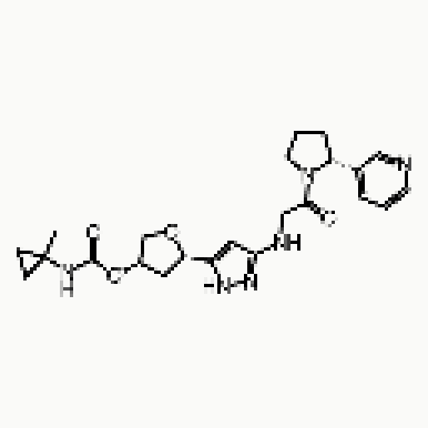 CC1(NC(=O)O[C@H]2CO[C@@H](c3cc(NCC(=O)N4CCC[C@@H]4c4cccnc4)n[nH]3)C2)CC1